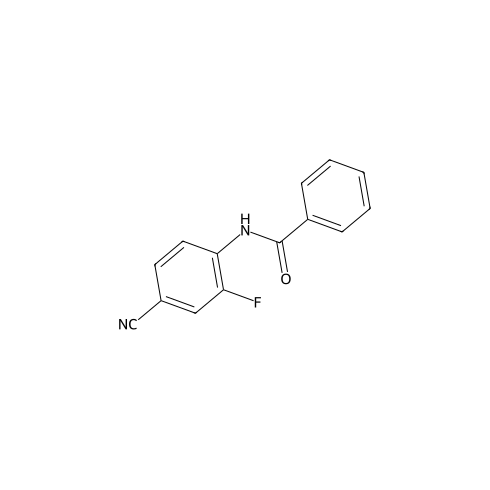 N#Cc1ccc(NC(=O)c2ccccc2)c(F)c1